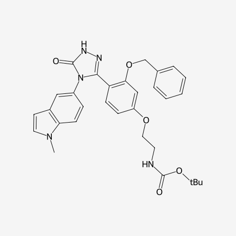 Cn1ccc2cc(-n3c(-c4ccc(OCCNC(=O)OC(C)(C)C)cc4OCc4ccccc4)n[nH]c3=O)ccc21